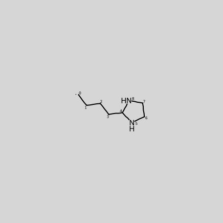 [CH2]CCCC1NCCN1